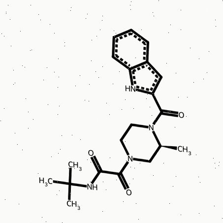 C[C@H]1CN(C(=O)C(=O)NC(C)(C)C)CCN1C(=O)c1cc2ccccc2[nH]1